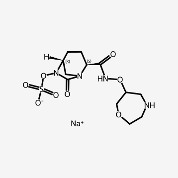 O=C(NOC1CNCCOC1)[C@@H]1CC[C@@H]2CN1C(=O)N2OS(=O)(=O)[O-].[Na+]